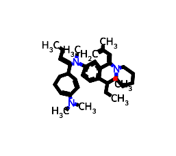 C=C(C)/C=C(\c1cc(N(C)/C(=C\CC)C2C=CC(N(C)C)=CCC2)ccc1C(CC)CC)N1CCCCC1